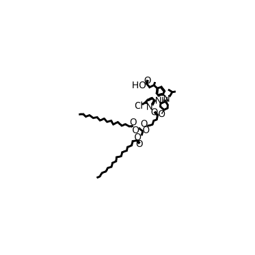 CCCCCCCCCCCCCCCC(=O)OCC(COC(=O)CCCCCCCCCCCCCCC)OC(=O)CCCC(=O)O[C@H]1CC[C@H](N(CC(C)C)c2ccc(C(C)CC(=O)O)cc2Nc2ccc(Cl)nc2)CC1